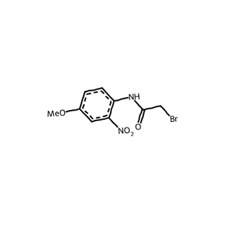 COc1ccc(NC(=O)CBr)c([N+](=O)[O-])c1